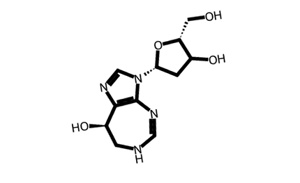 OC[C@H]1O[C@@H](n2cnc3c2N=CNC[C@H]3O)CC1O